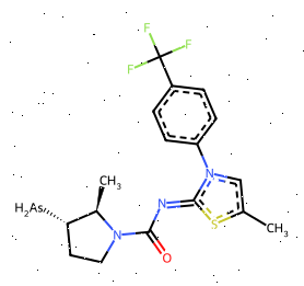 Cc1cn(-c2ccc(C(F)(F)F)cc2)c(=NC(=O)N2CC[C@H]([AsH2])[C@H]2C)s1